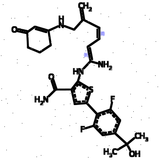 C=C(/C=C\C=C(/N)Nc1sc(-c2c(F)cc(C(C)(C)O)cc2F)cc1C(N)=O)CNC1=CC(=O)CCC1